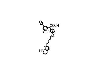 COc1c(F)cc(C2COC2)cc1C(C(=O)O)N1CC[C@@H](OCCCCCc2ccc3c(n2)NCCC3)C1